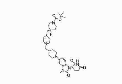 Cn1c(=O)n(C2CCC(=O)NC2=O)c2ccc(N3CCC(CN4CCC(CC5(F)CCN(C(=O)OC(C)(C)C)CC5)CC4)CC3)cc21